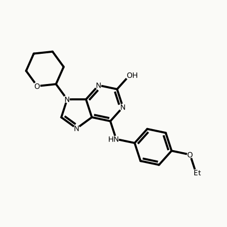 CCOc1ccc(Nc2nc(O)nc3c2ncn3C2CCCCO2)cc1